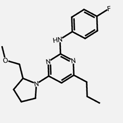 CCCc1cc(N2CCCC2COC)nc(Nc2ccc(F)cc2)n1